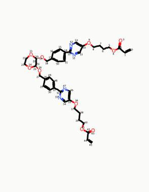 C=CC(=O)OCCCCOc1cnc(-c2ccc(CO[C@H]3OCCO[C@@H]3OCc3ccc(-c4ncc(OCCCCOC(=O)C=C)cn4)cc3)cc2)nc1